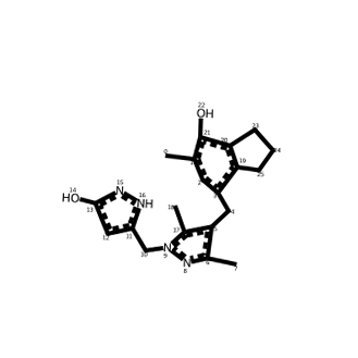 Cc1cc(Cc2c(C)nn(Cc3cc(O)n[nH]3)c2C)c2c(c1O)CCC2